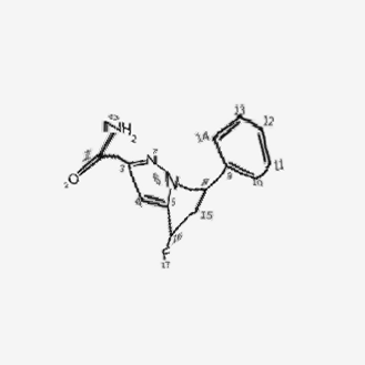 NC(=O)c1cc2n(n1)C(c1ccccc1)CC2F